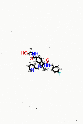 CC(C)c1c(C(=O)NCc2ccc(F)cc2)c2ccc(C(=O)N[C@@H](C)CO)cc2n1Cc1ccccn1